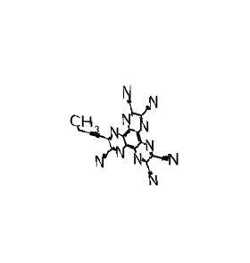 CCC#Cc1nc2c3nc(C#N)c(C#N)nc3c3nc(C#N)c(C#N)nc3c2nc1C#N